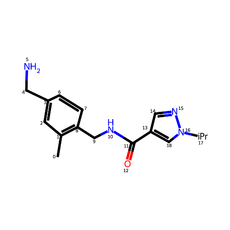 Cc1cc(CN)ccc1CNC(=O)c1cnn(C(C)C)c1